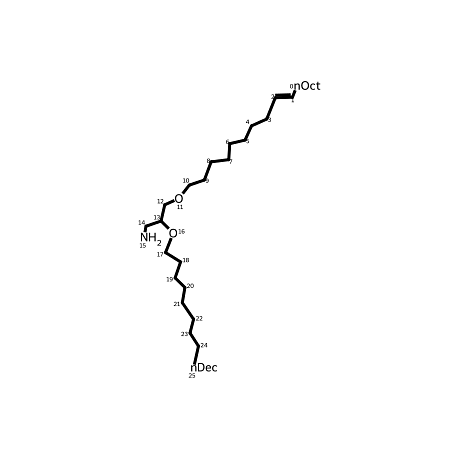 CCCCCCCCC=CCCCCCCCCOCC(CN)OCCCCCCCCCCCCCCCCCC